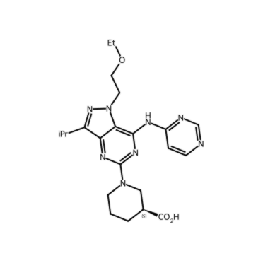 CCOCCn1nc(C(C)C)c2nc(N3CCC[C@H](C(=O)O)C3)nc(Nc3ccncn3)c21